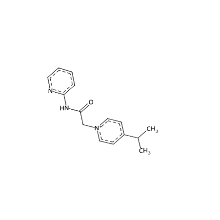 CC(C)c1cc[n+](CC(=O)Nc2ccccn2)cc1